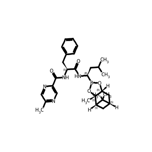 Cc1cnc(C(=O)N[C@@H](Cc2ccccc2)C(=O)N[C@@H](CC(C)C)B2O[C@@H]3C[C@@H]4C[C@@H](C4(C)C)[C@]3(C)O2)cn1